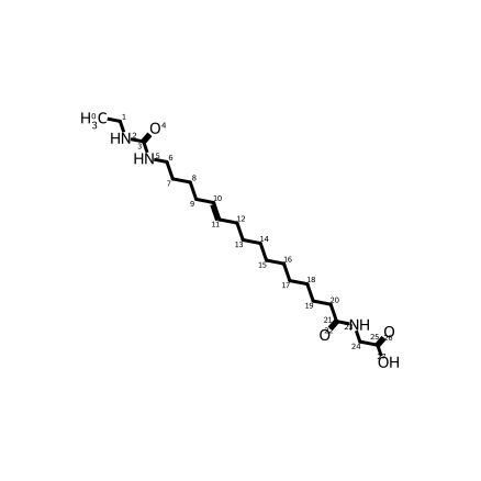 CCNC(=O)NCCCCC=CCCCCCCCCCC(=O)NCC(=O)O